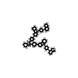 c1ccc2c(-c3ccc(-n4c5ccccc5c5cc(-c6ccc(-c7nc8ccccc8nc7-c7ccc(-c8ccc9c(c8)c8ccccc8n9-c8ccc(-c9cccc%10ccccc9%10)cc8)cc7)cc6)ccc54)cc3)cccc2c1